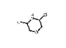 ClC1COCC(Cl)N1